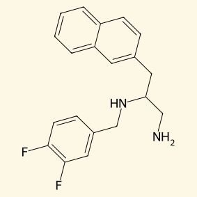 NCC(Cc1ccc2ccccc2c1)NCc1ccc(F)c(F)c1